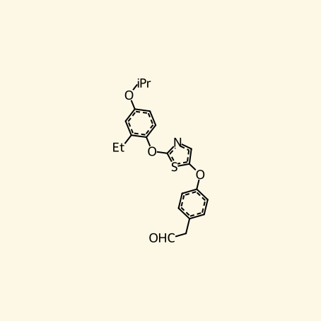 CCc1cc(OC(C)C)ccc1Oc1ncc(Oc2ccc(CC=O)cc2)s1